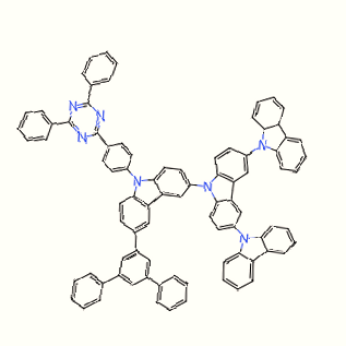 C1=CC2c3ccccc3N(c3ccc4c(c3)c3cc(-n5c6ccccc6c6ccccc65)ccc3n4-c3ccc4c(c3)c3cc(-c5cc(-c6ccccc6)cc(-c6ccccc6)c5)ccc3n4-c3ccc(-c4nc(-c5ccccc5)nc(-c5ccccc5)n4)cc3)C2C=C1